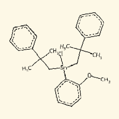 COc1cccc[c]1[Sn]([Cl])([CH2]C(C)(C)c1ccccc1)[CH2]C(C)(C)c1ccccc1